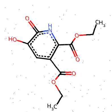 CCOC(=O)c1cc(O)c(=O)[nH]c1C(=O)OCC